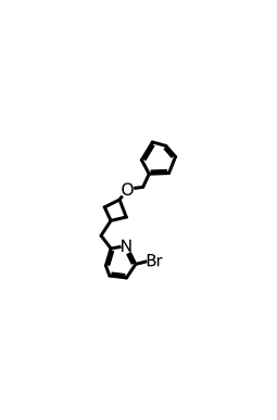 Brc1cccc(CC2CC(OCc3ccccc3)C2)n1